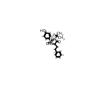 CC(C)(C)NC(=O)C(CCc1ccccc1)NS(=O)(=O)c1ccc(O)cc1